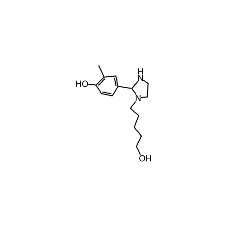 Cc1cc(C2NCCN2CCCCCO)ccc1O